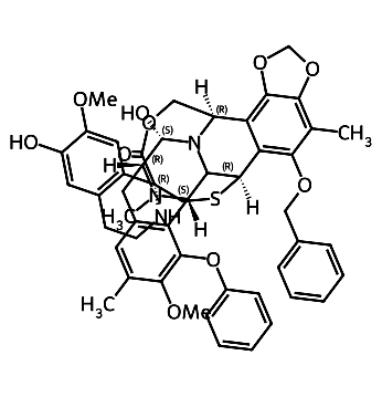 COc1cc2c(cc1O)CCN[C@]21CS[C@@H]2c3c(OCc4ccccc4)c(C)c4c(c3[C@H](COC1=O)N1C2[C@@H]2c3c(cc(C)c(OC)c3Oc3ccccc3)C[C@H]([C@@H]1O)N2C)OCO4